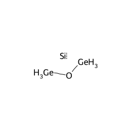 [GeH3][O][GeH3].[Si]